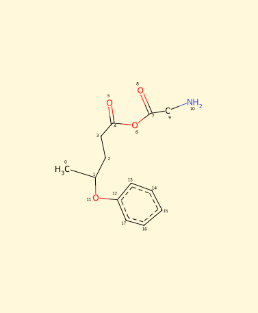 CC(CCC(=O)OC(=O)CN)Oc1ccccc1